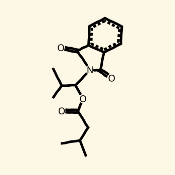 CC(C)CC(=O)OC(C(C)C)N1C(=O)c2ccccc2C1=O